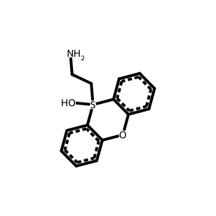 NCCS1(O)c2ccccc2Oc2ccccc21